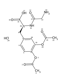 CC(=O)Oc1ccc(C[C@H](NC(=O)CN)C(=O)O)cc1OC(C)=O.Cl